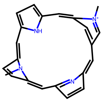 Cn1c2ccc1cc1ccc(cc3cc(cc4nc(c2)C=C4)C=[N+]3C)[nH]1